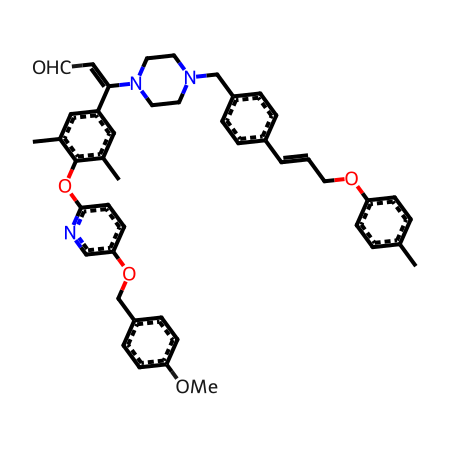 COc1ccc(COc2ccc(Oc3c(C)cc(/C(=C\C=O)N4CCN(Cc5ccc(/C=C/COc6ccc(C)cc6)cc5)CC4)cc3C)nc2)cc1